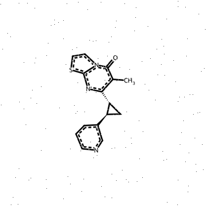 Cc1c([C@@H]2C[C@H]2c2cccnc2)nc2sccn2c1=O